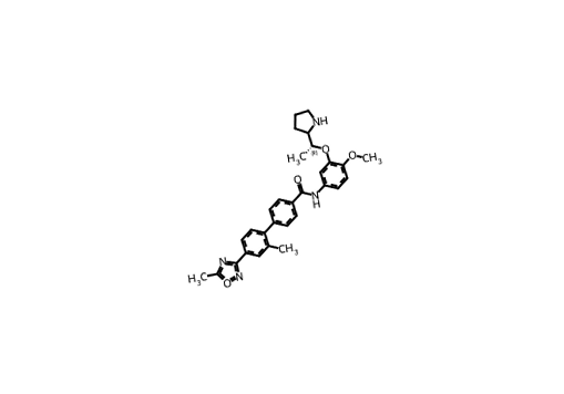 COc1ccc(NC(=O)c2ccc(-c3ccc(-c4noc(C)n4)cc3C)cc2)cc1O[C@H](C)C1CCCN1